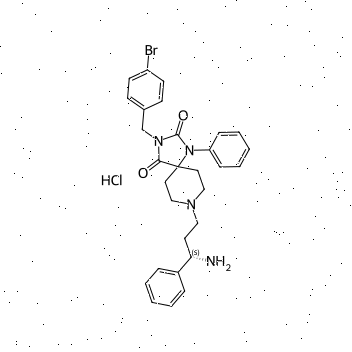 Cl.N[C@@H](CCN1CCC2(CC1)C(=O)N(Cc1ccc(Br)cc1)C(=O)N2c1ccccc1)c1ccccc1